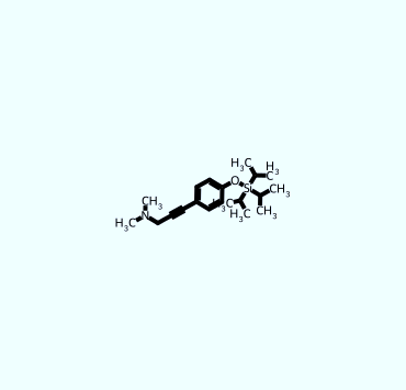 CC(C)[Si](Oc1ccc(C#CCN(C)C)cc1)(C(C)C)C(C)C